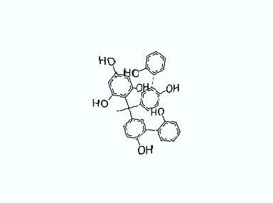 CC(c1ccc(O)c(-c2ccccc2O)c1)(c1ccc(O)c(-c2ccccc2O)c1)c1c(O)cc(O)cc1O